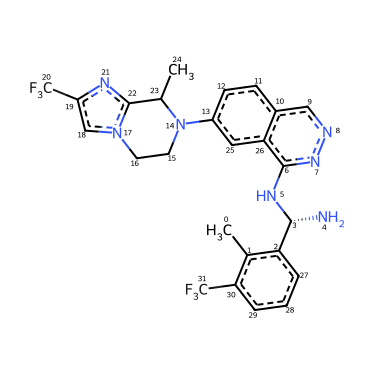 Cc1c([C@@H](N)Nc2nncc3ccc(N4CCn5cc(C(F)(F)F)nc5C4C)cc23)cccc1C(F)(F)F